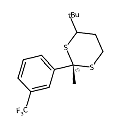 CC(C)(C)C1CCS[C@](C)(c2cccc(C(F)(F)F)c2)S1